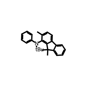 Cc1ccc2c(c1N(c1ccccc1)C(C)(C)C)C(C)(C)c1ccccc1-2